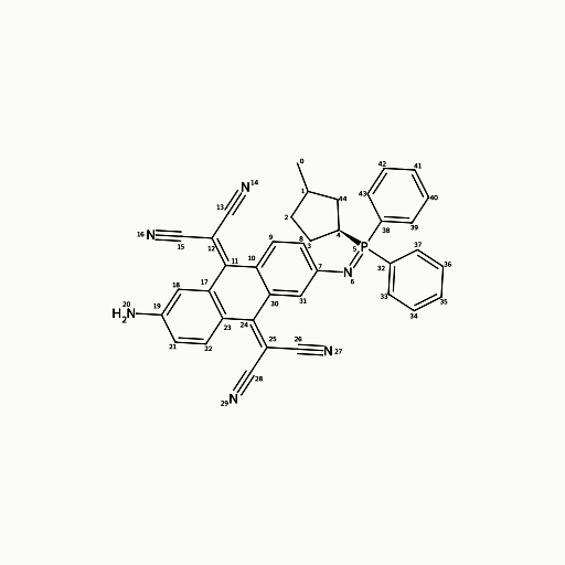 CC1CC[C@H](P(=Nc2ccc3c(=C(C#N)C#N)c4cc(N)ccc4c(=C(C#N)C#N)c3c2)(c2ccccc2)c2ccccc2)C1